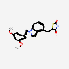 COc1cc(Cn2ccc3c(C=C4SC(=O)NC4=O)cccc32)cc(OC)c1